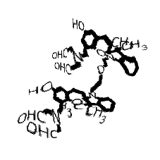 CC1(C)c2ccccc2N(CCOCCN2c3ccccc3C(C)(C)C23C=Cc2cc(O)cc(CN(CC=O)CC=O)c2O3)C12C=Cc1cc(O)cc(CN(CC=O)CC=O)c1O2